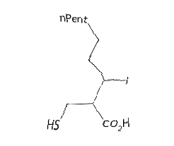 CCCCCCCC(I)C(CS)C(=O)O